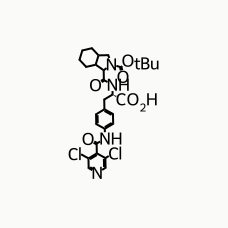 CC(C)(C)OC(=O)N1CC2CCCCC2C1C(=O)N[C@@H](Cc1ccc(NC(=O)c2c(Cl)cncc2Cl)cc1)C(=O)O